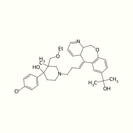 CCOCC1(C)CN(CC/C=C2/c3cc(C(C)(C)O)ccc3OCC3N=CC=CC23)CCC1(O)c1ccc(Cl)cc1